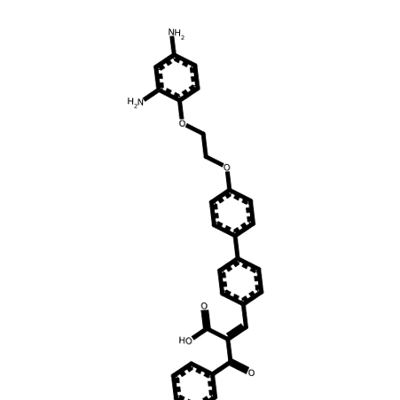 Nc1ccc(OCCOc2ccc(-c3ccc(C=C(C(=O)O)C(=O)c4ccccc4)cc3)cc2)c(N)c1